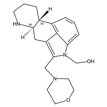 OCn1c(CN2CCOCC2)c2c3c(cccc31)[C@H]1CCCN[C@@H]1C2